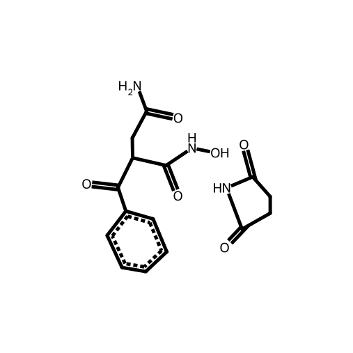 NC(=O)CC(C(=O)NO)C(=O)c1ccccc1.O=C1CCC(=O)N1